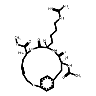 COC(=O)[C@@H]1CC=CCOc2ccc(cc2)C[C@H](NC(C)=O)C(=O)N[C@@H](CCCCNC(=N)N)C(=O)N1